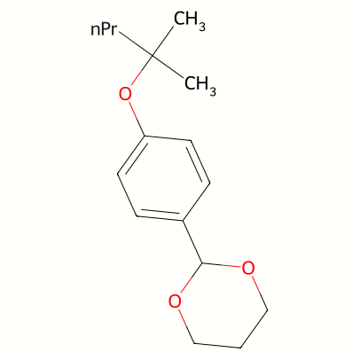 CCCC(C)(C)Oc1ccc(C2OCCCO2)cc1